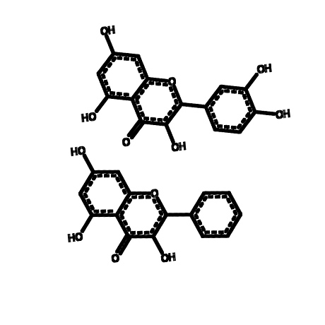 O=c1c(O)c(-c2ccc(O)c(O)c2)oc2cc(O)cc(O)c12.O=c1c(O)c(-c2ccccc2)oc2cc(O)cc(O)c12